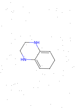 C1=C2NCCNC2=CCC1